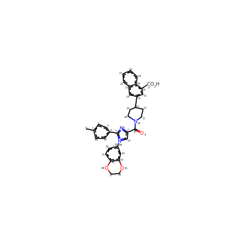 Cc1ccc(-c2nc(C(=O)N3CCC(c4cc(C(=O)O)c5ccccc5c4)CC3)cn2-c2ccc3c(c2)OCCO3)cc1